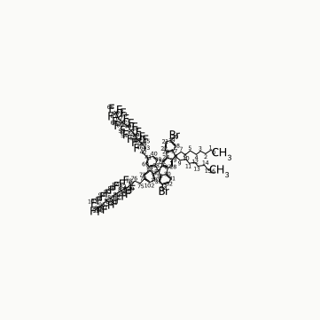 CCCCCCCCC1(CCCCCCCC)c2cc(Br)ccc2-c2cc3c(cc21)-c1ccc(Br)cc1C3(c1ccc(CCC(F)(F)C(F)(F)C(F)(F)C(F)(F)C(F)(F)C(F)(F)C(F)(F)C(F)(F)F)cc1)c1ccc(CCC(F)(F)C(F)(F)C(F)(F)C(F)(F)C(F)(F)C(F)(F)C(F)(F)C(F)(F)F)cc1